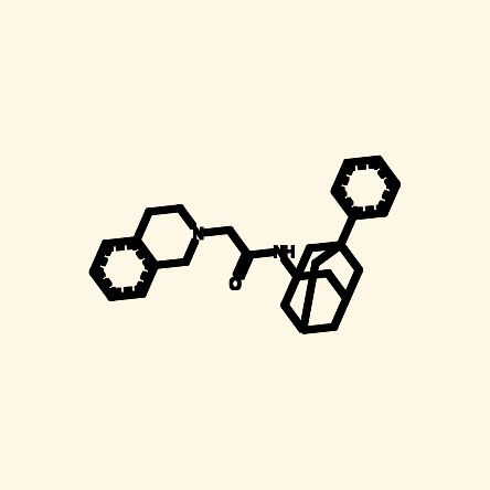 O=C(CN1CCc2ccccc2C1)NC12CC3CC(C1)CC(c1ccccc1)(C3)C2